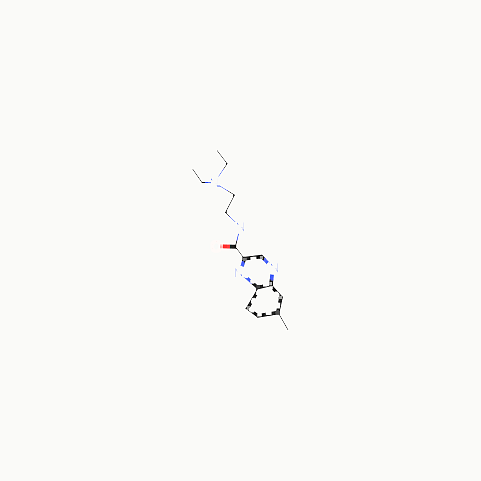 CCN(CC)CCNC(=O)c1cnc2cc(C)ccc2n1